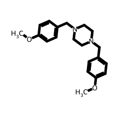 COc1ccc(CN2CCN(Cc3ccc(OC)cc3)CC2)cc1